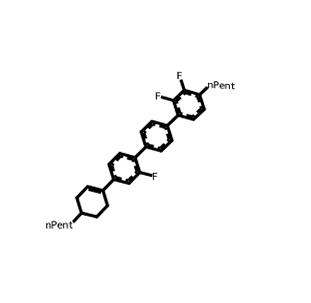 CCCCCc1ccc(-c2ccc(-c3ccc(C4=CCC(CCCCC)CC4)cc3F)cc2)c(F)c1F